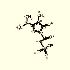 CN(C)c1nn(C(=O)NS(=O)(=O)Cl)c(=O)n1C